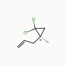 C=CC[C@]1(C)CC1(Cl)Cl